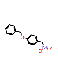 O=[N+]([O-])Cc1ccc(OCc2ccccc2)cc1